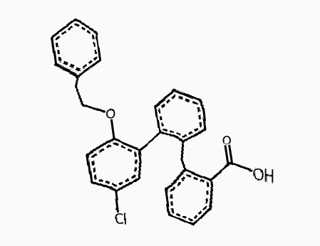 O=C(O)c1ccccc1-c1ccccc1-c1cc(Cl)ccc1OCc1ccccc1